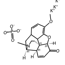 COC1=C2O[C@H]3C(=O)C=C[C@H]4[C@H]5CC(C=C1)C2[C@@]34CCN5C.O=P([O-])([O-])[O-].[K+].[K+].[K+]